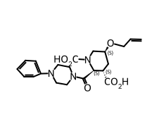 C=CCO[C@H]1C[C@H](C(=O)O)[C@@H](C(=O)N2CCN(c3ccccc3)CC2)N(C(=O)O)C1